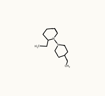 CCC1CCN(N2CCCCC2CC)CC1